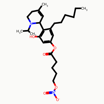 CCCCCCc1cc(OC(=O)CCCCO[N+](=O)[O-])cc(O)c1C1C=C(C)CCN1C(C)C